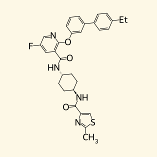 [CH2]Cc1ccc(-c2cccc(Oc3ncc(F)cc3C(=O)N[C@H]3CC[C@H](NC(=O)c4csc(C)n4)CC3)c2)cc1